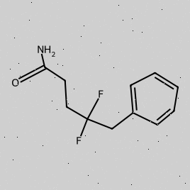 NC(=O)CCC(F)(F)Cc1ccccc1